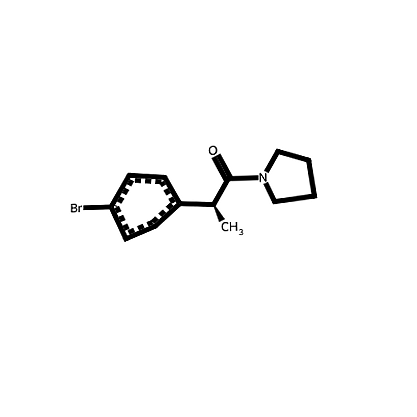 C[C@H](C(=O)N1CCCC1)c1ccc(Br)cc1